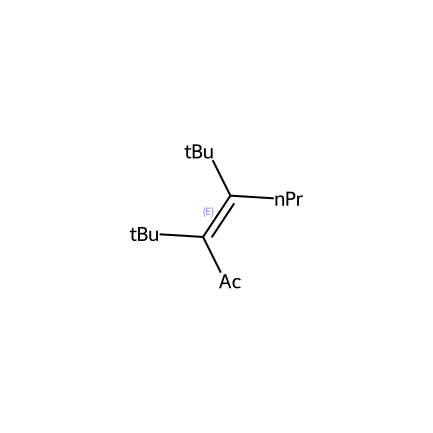 CCC/C(=C(\C(C)=O)C(C)(C)C)C(C)(C)C